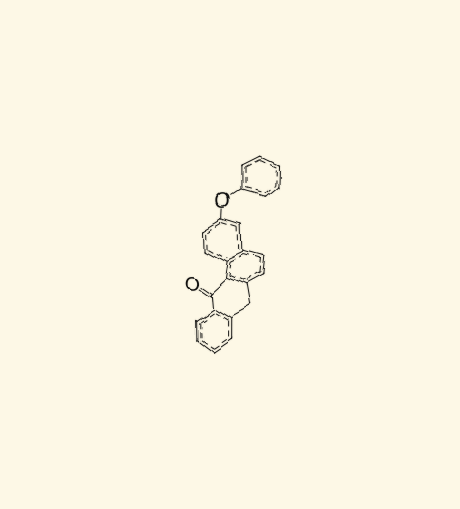 O=C1c2ccccc2Cc2ccc3cc(Oc4ccccc4)ccc3c21